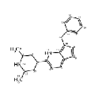 CC1CC(c2ncc3ncc(Cc4ccccc4)c-3[nH]2)CC(C)N1